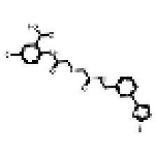 Cc1ccc(-c2cccc(CNC(=O)COCC(=O)Nc3ccc(Cl)cc3C(=O)O)c2)s1